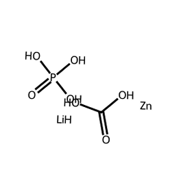 O=C(O)O.O=P(O)(O)O.[LiH].[Zn]